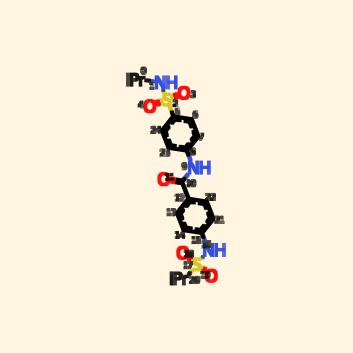 CC(C)NS(=O)(=O)c1ccc(NC(=O)c2ccc(NS(=O)(=O)C(C)C)cc2)cc1